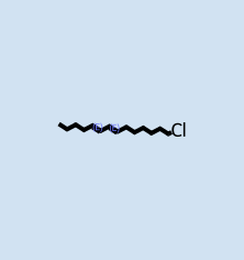 CCCC/C=C/C=C/CCCCCCCl